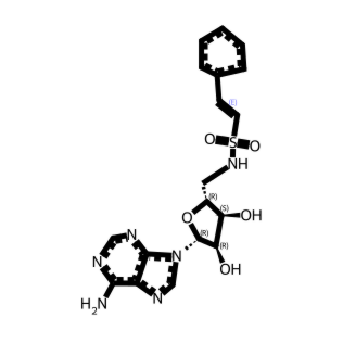 Nc1ncnc2c1ncn2[C@@H]1O[C@H](CNS(=O)(=O)/C=C/c2ccccc2)[C@@H](O)[C@H]1O